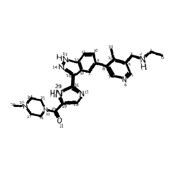 CCNCc1cncc(-c2ccc3[nH]nc(-c4ncc(C(=O)N5CCN(C)CC5)[nH]4)c3c2)c1C